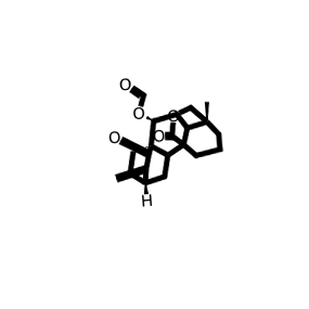 C=C1C(=O)[C@]23CC[C@H]1CC2C12CCC[C@@](C)(COC1=O)C2C[C@H]3OC=O